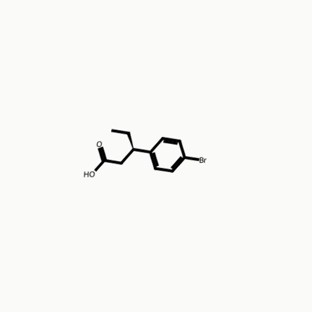 CC[C@H](CC(=O)O)c1ccc(Br)cc1